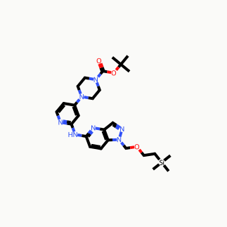 CC(C)(C)OC(=O)N1CCN(c2ccnc(Nc3ccc4c(cnn4COCC[Si](C)(C)C)n3)c2)CC1